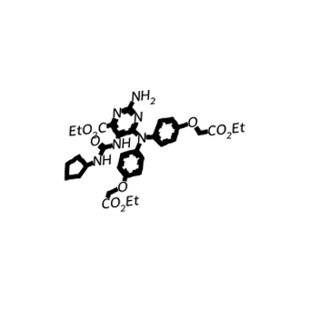 CCOC(=O)COc1ccc(N(c2ccc(OCC(=O)OCC)cc2)c2nc(N)nc(C(=O)OCC)c2NC(=O)NC2CCCC2)cc1